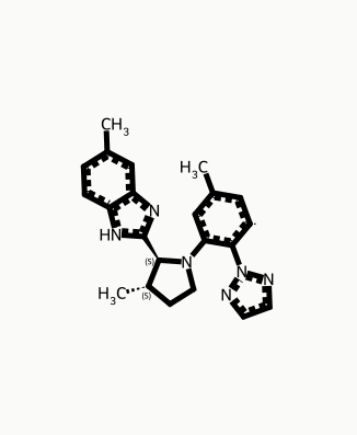 Cc1c[c]c(-n2nccn2)c(N2CC[C@H](C)[C@H]2c2nc3cc(C)ccc3[nH]2)c1